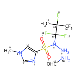 Cn1cnc(S(=O)(=O)N(N)C(F)(F)C(C)(F)C(F)(F)F)c1.NC=O